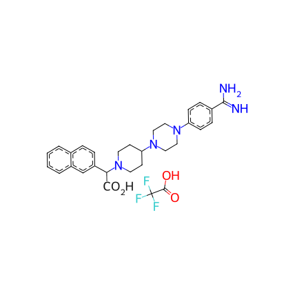 N=C(N)c1ccc(N2CCN(C3CCN(C(C(=O)O)c4ccc5ccccc5c4)CC3)CC2)cc1.O=C(O)C(F)(F)F